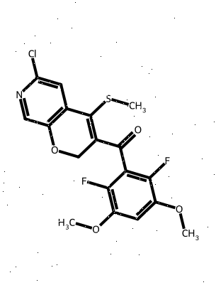 COc1cc(OC)c(F)c(C(=O)C2=C(SC)c3cc(Cl)ncc3OC2)c1F